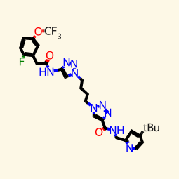 CC(C)(C)c1ccnc(CNC(=O)c2cn(CCCCn3cc(NC(=O)Cc4cc(OC(F)(F)F)ccc4F)nn3)nn2)c1